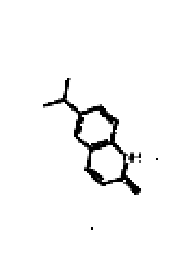 C=C1C=Cc2cc(C(C)C)ccc2N1